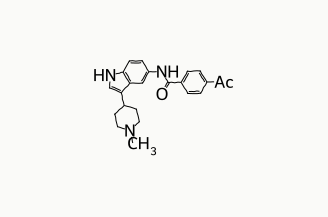 CC(=O)c1ccc(C(=O)Nc2ccc3[nH]cc(C4CCN(C)CC4)c3c2)cc1